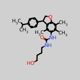 Cc1c(C)c2c(c(C)c1NC(=O)NCCCCO)C(c1ccc(C(C)C)cc1)CO2